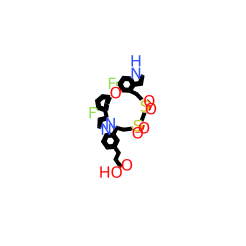 O=C(O)CCc1cccc(C2CCS(=O)(=O)CCS(=O)(=O)CCc3c(c(F)cc4[nH]ccc34)Oc3ccc(F)c(c3)-c3ccnn32)c1